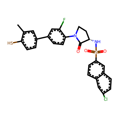 Cc1cc(-c2ccc(N3CC[C@H](NS(=O)(=O)c4ccc5cc(Cl)ccc5c4)C3=O)c(F)c2)ccc1S